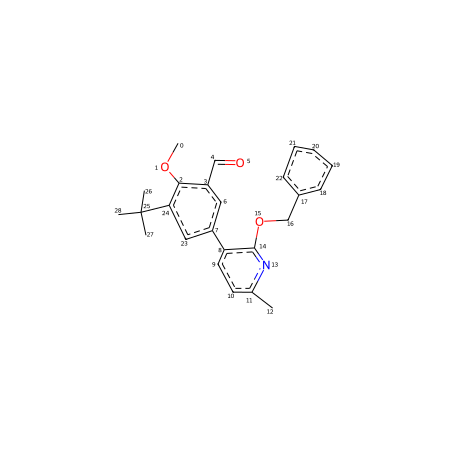 COc1c(C=O)cc(-c2ccc(C)nc2OCc2ccccc2)cc1C(C)(C)C